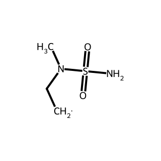 [CH2]CN(C)S(N)(=O)=O